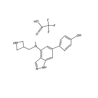 CN(CC1CNC1)c1cc(-c2ccc(O)cc2)cc2[nH]ncc12.O=C(O)C(F)(F)F